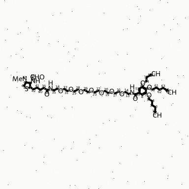 C#CCCCCOc1cc(C(=O)NCCOCCOCCOCCOCCOCCOCCOCCNC(=O)CCCCC2SCC(NC)C2NC=O)cc(OCCC#C)c1OCCCCC#C